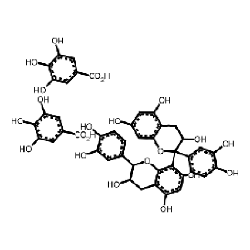 O=C(O)c1cc(O)c(O)c(O)c1.O=C(O)c1cc(O)c(O)c(O)c1.Oc1cc(O)c2c(c1)OC(c1ccc(O)c(O)c1)(c1c(O)cc(O)c3c1OC(c1ccc(O)c(O)c1)C(O)C3)C(O)C2